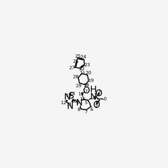 CS(=O)(=O)N[C@H]1CCCN(c2ncns2)[C@H]1CO[C@H]1CC[C@@H](c2ccccc2)CC1